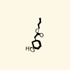 CCCCOC(=O)C[C@H]1CCC[C@H](O)C1